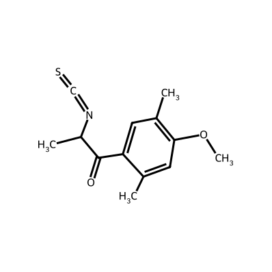 COc1cc(C)c(C(=O)C(C)N=C=S)cc1C